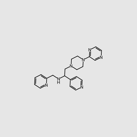 c1ccc(CNC(CN2CCN(c3cnccn3)CC2)c2ccncc2)nc1